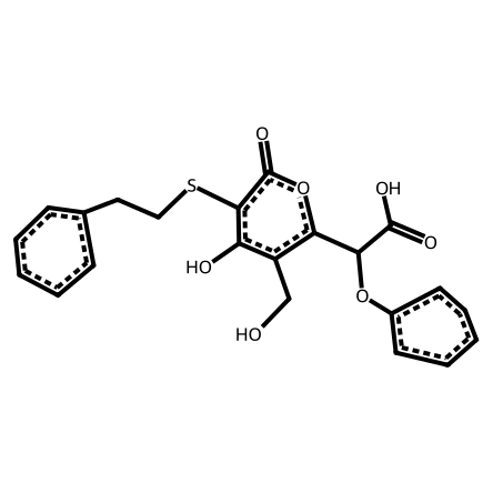 O=C(O)C(Oc1ccccc1)c1oc(=O)c(SCCc2ccccc2)c(O)c1CO